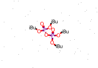 CCC(C)OP(=O)(OC(C)CC)OP(=O)(OC(C)CC)OC(C)CC